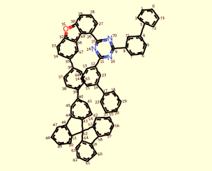 c1ccc(-c2cccc(-c3nc(-c4cccc(-c5ccccc5)c4)nc(-c4cccc5oc6ccc(-c7ccc(-c8ccc9c(c8)-c8ccccc8C98c9ccccc9-c9ccccc98)cc7)cc6c45)n3)c2)cc1